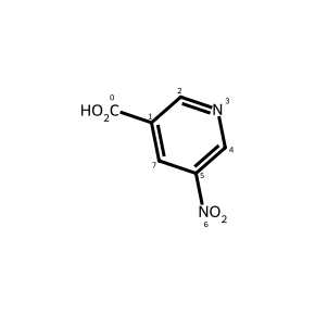 O=C(O)c1cncc([N+](=O)[O-])c1